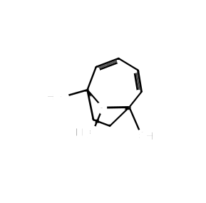 CP1C2(C)C=CC=CC1(C)CC2